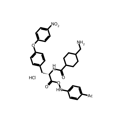 CC(=O)c1ccc(NOC(=O)[C@H](Cc2ccc(Oc3ccc([N+](=O)[O-])cc3)cc2)NC(=O)C2CCC(CN)CC2)cc1.Cl